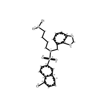 CCN(CC)CCCCN(Cc1cccc2c1OCO2)S(=O)(=O)c1ccc2c(Cl)cccc2c1